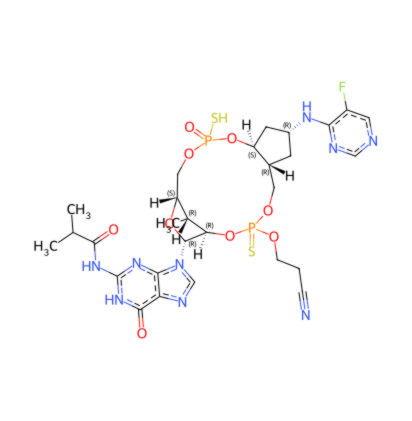 CC(C)C(=O)Nc1nc2c(ncn2[C@@H]2O[C@@H]3COP(=O)(S)O[C@H]4C[C@H](Nc5ncncc5F)C[C@@H]4COP(=S)(OCCC#N)O[C@@H]2[C@@H]3C)c(=O)[nH]1